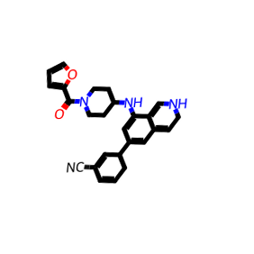 N#CC1=CC(c2cc(NC3CCN(C(=O)c4ccco4)CC3)c3c(c2)=CCNC=3)CC=C1